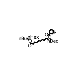 CCCCCCCCCCC(CCCCCCCCC(=O)OCC(CCCC)CCCCCC)OC(=O)C1CCCN(C)C1